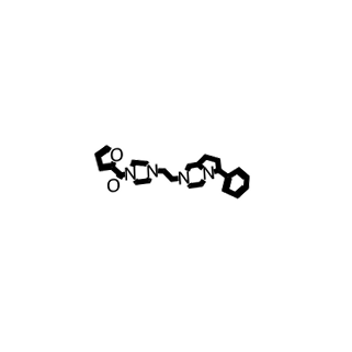 O=C(c1ccco1)N1CCN(CCN2CCN3C(CCC3c3ccccc3)C2)CC1